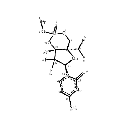 CC(C)OP1(=S)OC[C@@]2(C(F)F)O[C@@H](n3ccc(N)nc3=O)C(F)(F)[C@@H]2O1